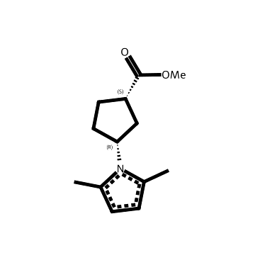 COC(=O)[C@H]1CC[C@@H](n2c(C)ccc2C)C1